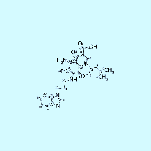 CC(C)C[C@H]1COc2c(NCCCn3cnc4ccccc43)c(F)c(N)c3c(=O)c(C(=O)O)cn1c23